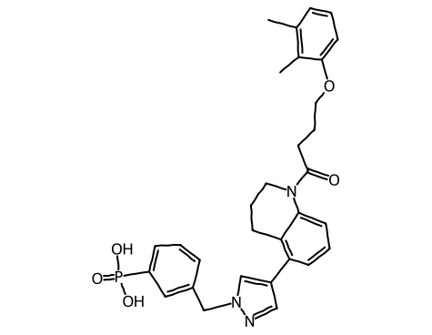 Cc1cccc(OCCCC(=O)N2CCCc3c(-c4cnn(Cc5cccc(P(=O)(O)O)c5)c4)cccc32)c1C